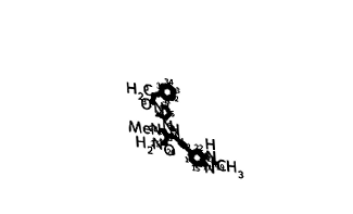 C=C(C(=O)N1CCC(n2nc(C#Cc3ccc4nc(C)[nH]c4c3)c(C(N)=O)c2NC)C1)c1ccccc1